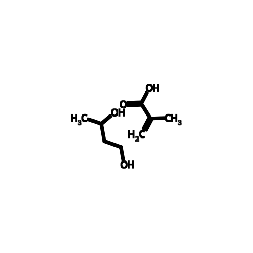 C=C(C)C(=O)O.CC(O)CCO